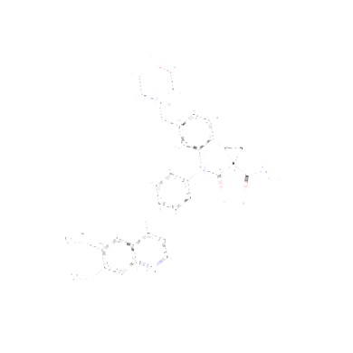 COc1cc2nccc(Oc3ccc(N(C(=O)C4(C(N)=O)CC4)c4cccc(CN5CCOCC5)c4)cc3)c2cc1OC